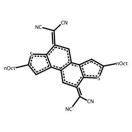 CCCCCCCCc1cc2c(s1)c(=C(C#N)C#N)cc1c3cc(CCCCCCCC)sc3c(=C(C#N)C#N)cc21